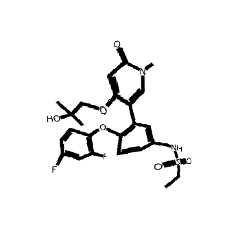 CCS(=O)(=O)Nc1ccc(Oc2ccc(F)cc2F)c(-c2cn(C)c(=O)cc2OCC(C)(C)O)c1